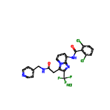 Cl.O=C(Cc1c(C(F)(F)F)nc2c(NC(=O)c3c(Cl)cccc3Cl)cccn12)NCc1ccncc1